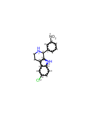 O=[N+]([O-])c1cccc(C2NCCc3c2[nH]c2ccc(Cl)cc32)c1